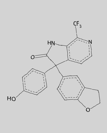 O=C1Nc2c(ccnc2C(F)(F)F)C1(c1ccc(O)cc1)c1ccc2c(c1)CCO2